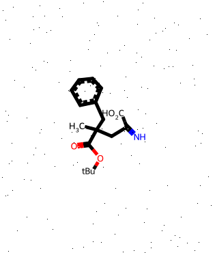 CC(C)(C)OC(=O)C(C)(CC(=N)C(=O)O)Cc1ccccc1